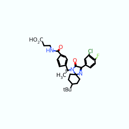 C[C@H](c1ccc(C(=O)NCCC(=O)O)cc1)N1C(=O)C(c2ccc(F)c(Cl)c2)=NC12CCC(C(C)(C)C)CC2